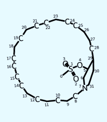 CS(=O)(=O)OC1CN2CCCCCCCCCCCCCCCCCCCCCC1CC2